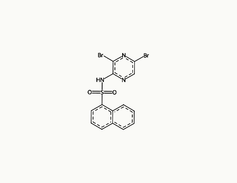 O=S(=O)(Nc1ncc(Br)nc1Br)c1cccc2ccccc12